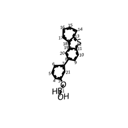 OBOc1cccc(-c2ccc3sc4ccccc4c3c2)c1